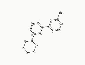 CC(C)(C)c1cccc(-c2cccc(N3CCCCC3)c2)c1